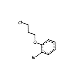 ClCCCOc1ccccc1Br